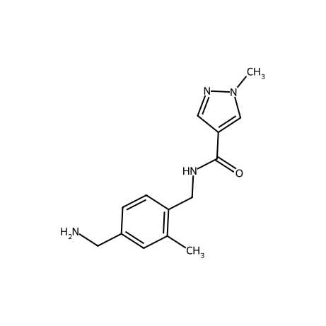 Cc1cc(CN)ccc1CNC(=O)c1cnn(C)c1